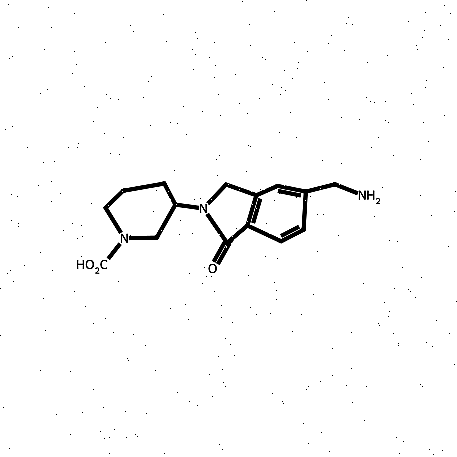 NCc1ccc2c(c1)CN(C1CCCN(C(=O)O)C1)C2=O